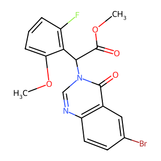 COC(=O)C(c1c(F)cccc1OC)n1cnc2ccc(Br)cc2c1=O